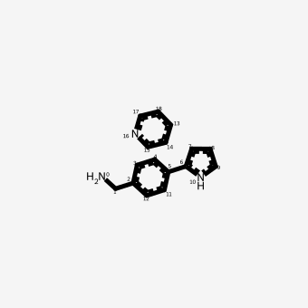 NCc1ccc(-c2ccc[nH]2)cc1.c1ccncc1